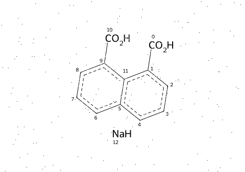 O=C(O)c1cccc2cccc(C(=O)O)c12.[NaH]